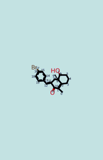 CC1=C2CCC[C@H](O)[C@@]2(C)CC(=Cc2ccc(Br)cc2)C1=O